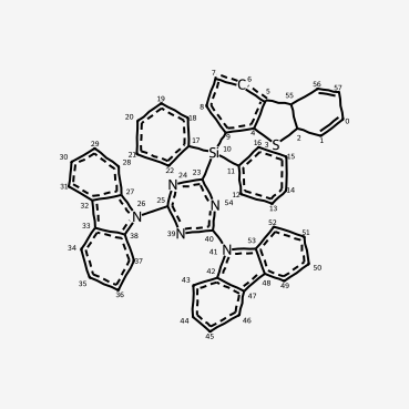 C1=CC2Sc3c(cccc3[Si](c3ccccc3)(c3ccccc3)c3nc(-n4c5ccccc5c5ccccc54)nc(-n4c5ccccc5c5ccccc54)n3)C2C=C1